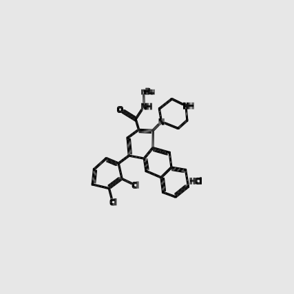 CCCCNC(=O)c1cc(-c2cccc(Cl)c2Cl)c2cc3ccccc3cc2c1N1CCNCC1.Cl